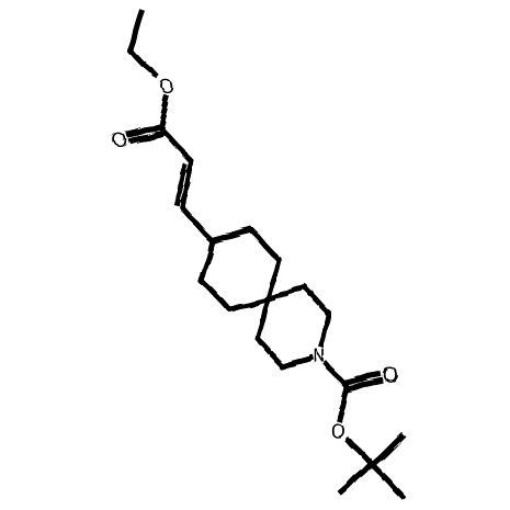 CCOC(=O)C=CC1CCC2(CC1)CCN(C(=O)OC(C)(C)C)CC2